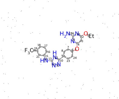 CCOc1cc(Oc2ccc(-c3nnc(Nc4cccc(C(F)(F)F)c4)[nH]3)cc2)nc(N)n1